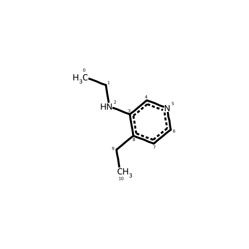 CCNc1cnccc1CC